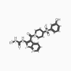 CCNC(=O)Nc1sc2ncccc2c1C(=O)N1CCC(S(=O)(=O)c2cccc(O)c2)CC1